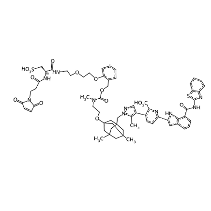 Cc1c(-c2ccc(-c3cc4cccc(C(=O)Nc5nc6ccccc6s5)c4[nH]3)nc2C(=O)O)cnn1CC12CC3(C)CC(C)(C1)CC(OCCN(C)C(=O)OCc1cc[c]cc1OCCOCCNC(=O)[C@H](CS(=O)(=O)O)NC(=O)CCN1C(=O)C=CC1=O)(C3)C2